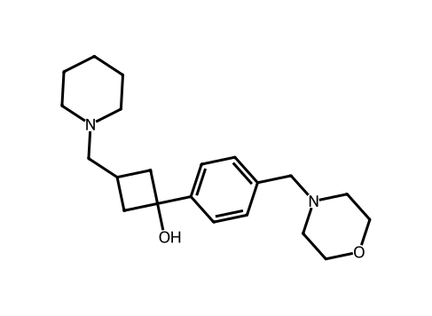 OC1(c2ccc(CN3CCOCC3)cc2)CC(CN2CCCCC2)C1